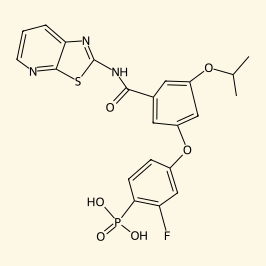 CC(C)Oc1cc(Oc2ccc(P(=O)(O)O)c(F)c2)cc(C(=O)Nc2nc3cccnc3s2)c1